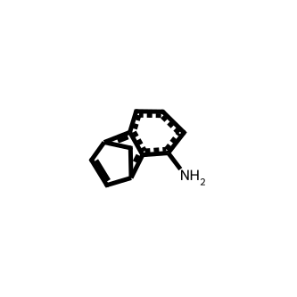 Nc1cccc2c1=C1C=CC=2C1